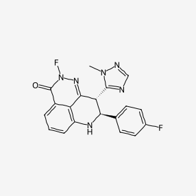 Cn1ncnc1[C@H]1c2nn(F)c(=O)c3cccc(c23)N[C@@H]1c1ccc(F)cc1